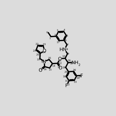 CCc1cccc(CNCC(OC(=O)C2CC(=O)N(Cc3ccco3)C2)C(N)Cc2cc(F)cc(F)c2)c1